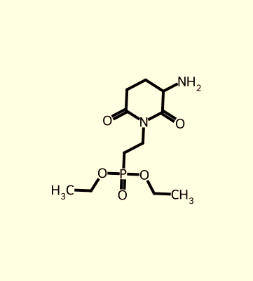 CCOP(=O)(CCN1C(=O)CCC(N)C1=O)OCC